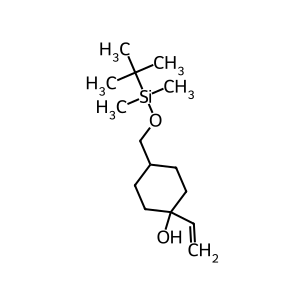 C=CC1(O)CCC(CO[Si](C)(C)C(C)(C)C)CC1